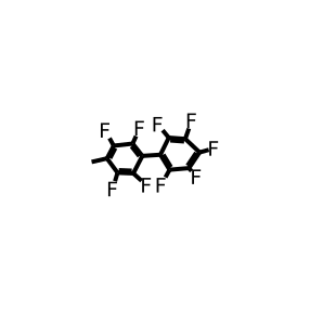 Cc1c(F)c(F)c(-c2c(F)c(F)c(F)c(F)c2F)c(F)c1F